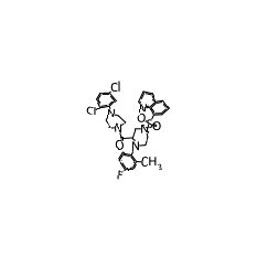 Cc1cc(F)ccc1N1CCN(S(=O)(=O)c2cccc3cccnc23)CC1C(=O)N1CCN(c2cc(Cl)ccc2Cl)CC1